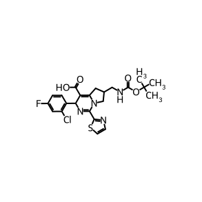 CC(C)(C)OC(=O)NCC1CC2=C(C(=O)O)C(c3ccc(F)cc3Cl)N=C(c3nccs3)N2C1